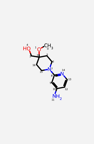 COC1(CO)CCN(c2cc(N)ccn2)CC1